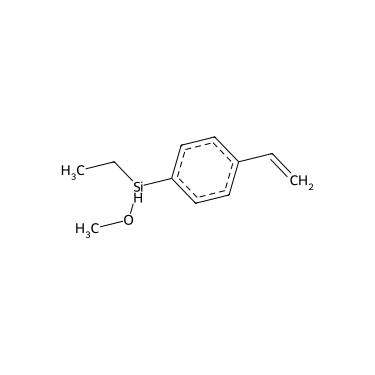 C=Cc1ccc([SiH](CC)OC)cc1